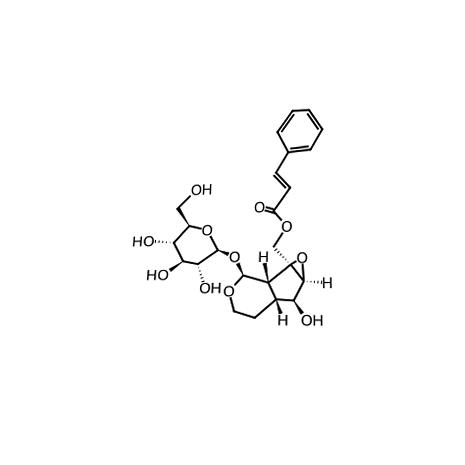 O=C(/C=C/c1ccccc1)OC[C@]12O[C@H]1[C@@H](O)[C@@H]1CCO[C@@H](O[C@@H]3O[C@H](CO)[C@@H](O)[C@H](O)[C@H]3O)[C@@H]12